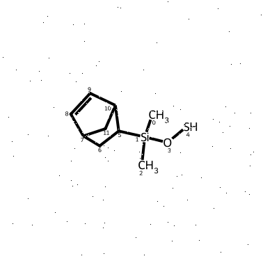 C[Si](C)(OS)C1CC2C=CC1C2